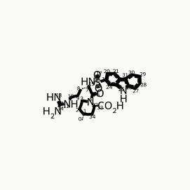 C[C@@H]1CCN(C(=O)[C@H](CCCNC(=N)N)NS(=O)(=O)c2ccc3c(c2)[nH]c2ccccc23)[C@@H](C(=O)O)C1